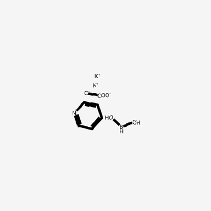 O=C([O-])[O-].OBO.[K+].[K+].c1ccncc1